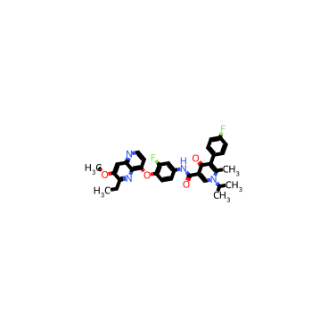 CCc1nc2c(Oc3ccc(NC(=O)c4cn(C(C)C)c(C)c(-c5ccc(F)cc5)c4=O)cc3F)ccnc2cc1OC